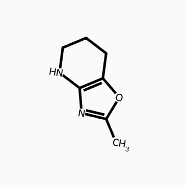 Cc1nc2c(o1)CCCN2